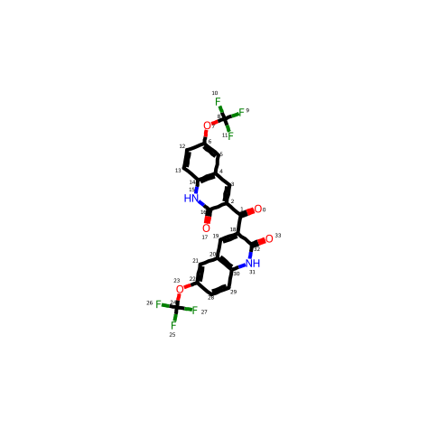 O=C(c1cc2cc(OC(F)(F)F)ccc2[nH]c1=O)c1cc2cc(OC(F)(F)F)ccc2[nH]c1=O